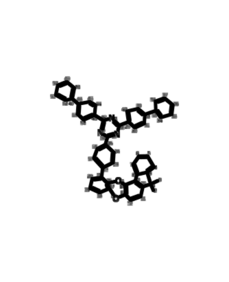 CC1(C)c2ccccc2-c2c1ccc1c2Oc2c(cccc2-c2ccc(-c3nc(-c4ccc(-c5ccccc5)cc4)nc(-c4ccc(-c5ccccc5)cc4)n3)cc2)O1